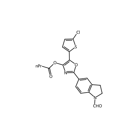 CCCC(=O)Oc1nc(-c2ccc3c(c2)CCN3C=O)oc1-c1ccc(Cl)s1